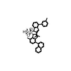 CC1=Cc2c(-c3cccc4ccccc34)ccc(C)c2[CH]1[Zr]([Cl])([Cl])([CH]1C(C(C)C)=Cc2c(-c3cccc(C)c3)cccc21)[SiH](C)C